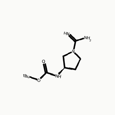 CC(C)(C)OC(=O)N[C@@H]1CCN(C(=N)N)C1